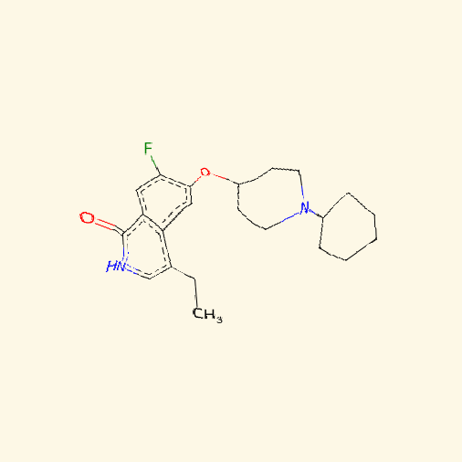 CCc1c[nH]c(=O)c2cc(F)c(OC3CCN(C4CCCCC4)CC3)cc12